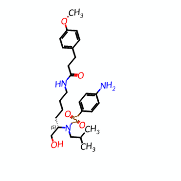 COc1ccc(CCC(=O)NCCCC[C@@H](CO)N(CC(C)C)S(=O)(=O)c2ccc(N)cc2)cc1